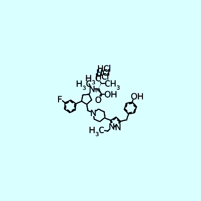 CCn1nc(Cc2ccc(O)cc2)cc1C1CCN(CC2CC(N(C)[C@@H](C(=O)O)C(C)C)CC2c2cccc(F)c2)CC1.Cl.Cl.Cl